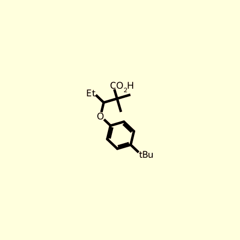 CCC(Oc1ccc(C(C)(C)C)cc1)C(C)(C)C(=O)O